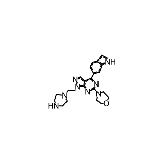 c1cc2ccc(-c3nc(N4CCOCC4)nc4c3cnn4CCN3CCNCC3)cc2[nH]1